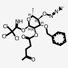 CC(=O)CCC(=O)O[C@H]1[C@@H](OC(=N)C(Cl)(Cl)Cl)O[C@H](C)[C@@H](ON=[N+]=[N-])[C@@H]1OCc1ccccc1